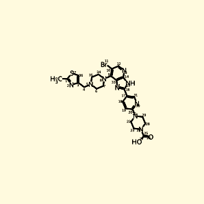 Cc1nc(CN2CCN(c3c(Br)cnc4[nH]c(-c5ccc(N6CCN(C(=O)O)CC6)nc5)nc34)CC2)cs1